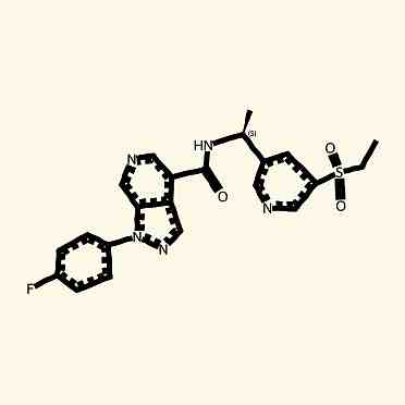 CCS(=O)(=O)c1cncc([C@H](C)NC(=O)c2cncc3c2cnn3-c2ccc(F)cc2)c1